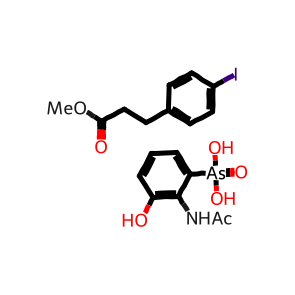 CC(=O)Nc1c(O)cccc1[As](=O)(O)O.COC(=O)CCc1ccc(I)cc1